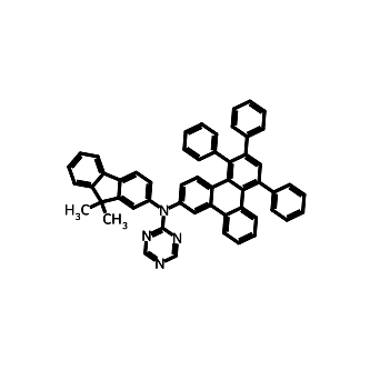 CC1(C)c2ccccc2-c2ccc(N(c3ccc4c(c3)c3ccccc3c3c(-c5ccccc5)cc(-c5ccccc5)c(-c5ccccc5)c43)c3ncncn3)cc21